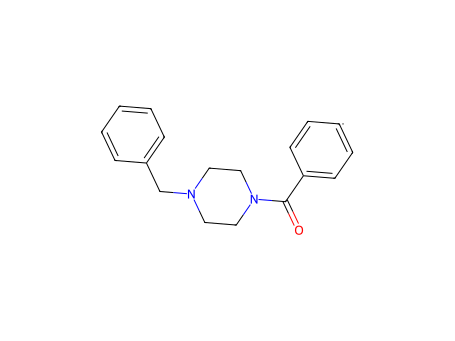 O=C(c1cc[c]cc1)N1CCN(Cc2ccccc2)CC1